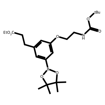 CCOC(=O)CCc1cc(OCCNC(=O)OC(C)(C)C)cc(B2OC(C)(C)C(C)(C)O2)c1